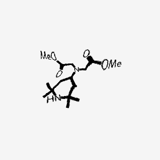 COC(=O)CN(CC(=O)OC)C1CC(C)(C)NC(C)(C)C1